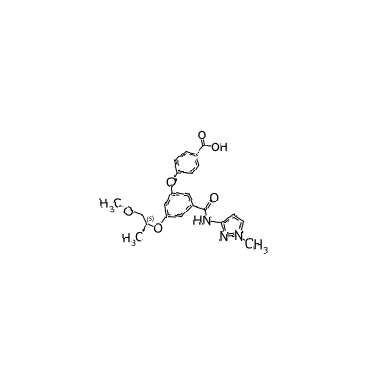 COC[C@H](C)Oc1cc(Oc2ccc(C(=O)O)cc2)cc(C(=O)Nc2ccn(C)n2)c1